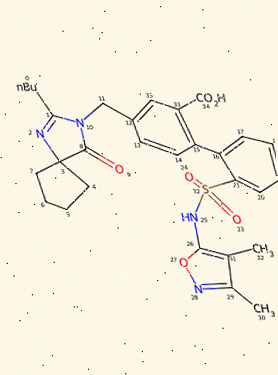 CCCCC1=NC2(CCCC2)C(=O)N1Cc1ccc(-c2ccccc2S(=O)(=O)Nc2onc(C)c2C)c(C(=O)O)c1